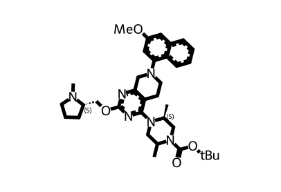 COc1cc(N2CCc3c(nc(OC[C@@H]4CCCN4C)nc3N3CC(C)N(C(=O)OC(C)(C)C)C[C@@H]3C)C2)c2ccccc2c1